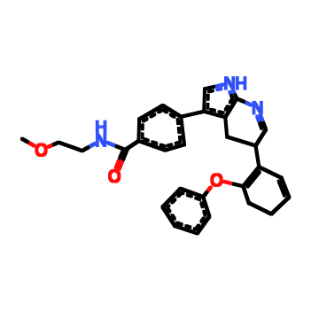 COCCNC(=O)c1ccc(-c2c[nH]c3c2CC(C2=C(Oc4ccccc4)CCC=C2)C=N3)cc1